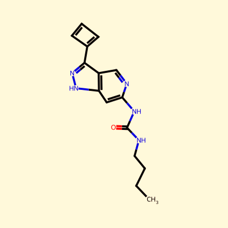 CCCCNC(=O)Nc1cc2[nH]nc(C3=CC=C3)c2cn1